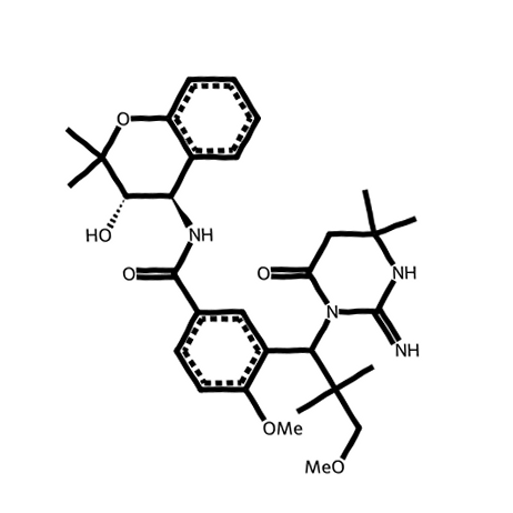 COCC(C)(C)C(c1cc(C(=O)N[C@@H]2c3ccccc3OC(C)(C)[C@H]2O)ccc1OC)N1C(=N)NC(C)(C)CC1=O